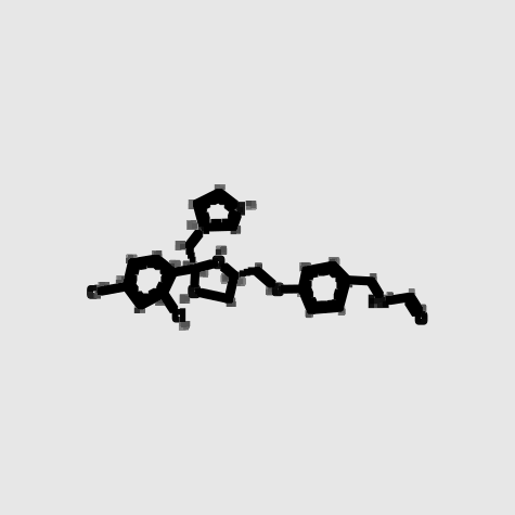 O=CNCc1ccc(OC[C@@H]2CO[C@@](Cn3ccnc3)(c3ccc(Cl)cc3Cl)O2)cc1